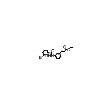 CCOC(=O)C=Cc1cccc(NC(=O)c2cccc(Br)n2)c1